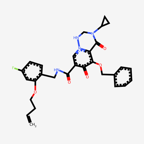 C=CCCOc1cc(F)ccc1CNC(=O)c1cn2c(c(OCc3ccccc3)c1=O)C(=O)N(C1CC1)CN2